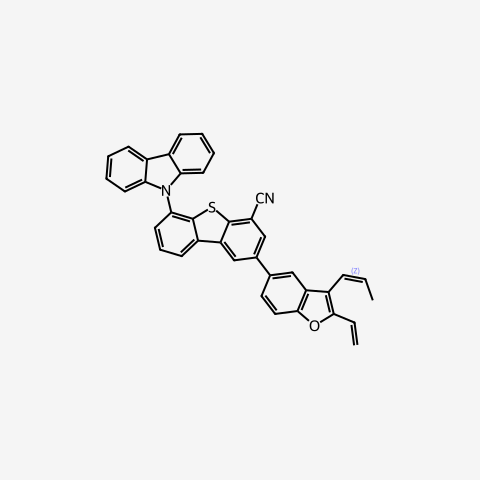 C=Cc1oc2ccc(-c3cc(C#N)c4sc5c(-n6c7ccccc7c7ccccc76)cccc5c4c3)cc2c1/C=C\C